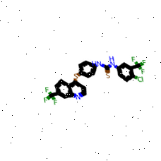 FC(F)(F)c1ccc2c(Sc3ccc(NC(=S)Nc4ccc(Cl)c(C(F)(F)F)c4)cc3)ccnc2c1